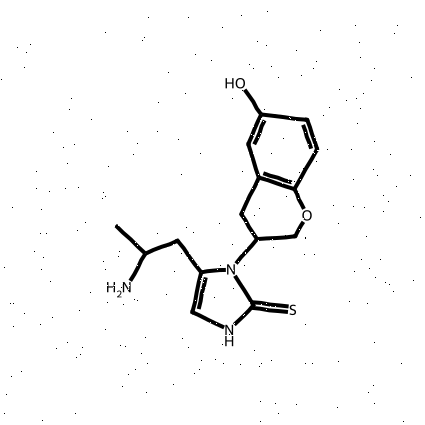 CC(N)Cc1c[nH]c(=S)n1C1COc2ccc(O)cc2C1